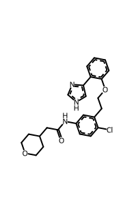 O=C(CC1CCOCC1)Nc1ccc(Cl)c(CCOc2ccccc2-c2c[nH]cn2)c1